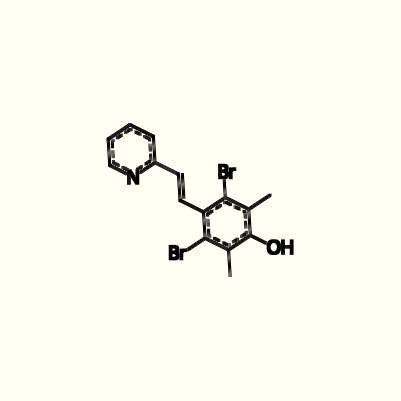 Cc1c(O)c(C)c(Br)c(C=Cc2ccccn2)c1Br